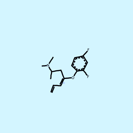 C=C/C=C(\CC(C)N(C)C)Oc1ccc(F)cc1F